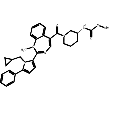 CN1C(c2ccc(-c3ccccc3)n2CC2CC2)=NC=C(C(=O)N2CCC[C@@H](NC(=O)OC(C)(C)C)C2)c2ccccc21